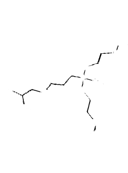 COCCO[Si](C)(CCCOCC(C)O)OCCOC